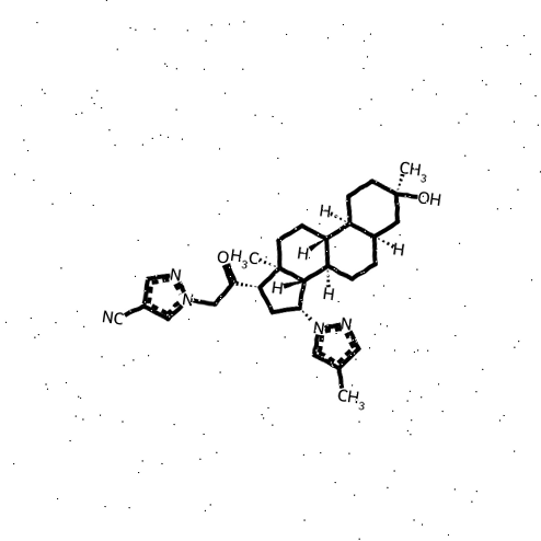 Cc1cnn([C@@H]2C[C@H](C(=O)Cn3cc(C#N)cn3)[C@@]3(C)CC[C@H]4[C@@H](CC[C@@H]5C[C@](C)(O)CC[C@@H]54)[C@H]23)c1